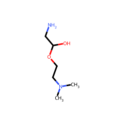 CN(C)CCOC(O)CN